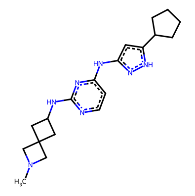 CN1CC2(CC(Nc3nccc(Nc4cc(C5CCCC5)[nH]n4)n3)C2)C1